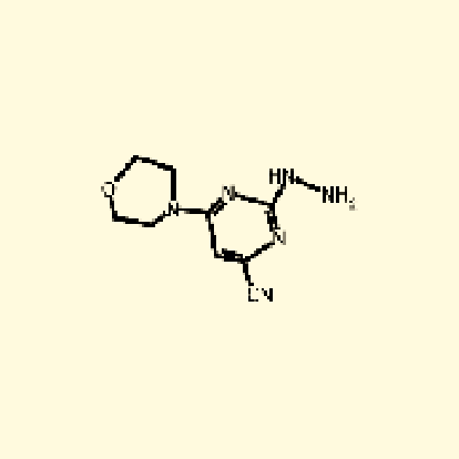 N#Cc1cc(N2CCOCC2)nc(NN)n1